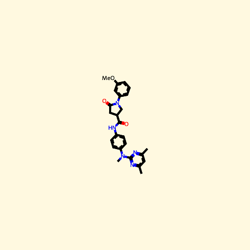 COc1cccc(N2CC(C(=O)Nc3ccc(N(C)c4nc(C)cc(C)n4)cc3)CC2=O)c1